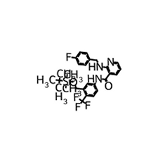 CC(C)(C)[Si](C)(C)OCc1cc(NC(=O)c2cccnc2NCc2ccc(F)cc2)ccc1C(F)(F)F